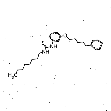 CCCCCCCCNC(=S)Nc1cccc(OCCCCCc2ccccc2)c1